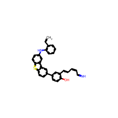 C=Cc1ccccc1Nc1ccc2sc3ccc(-c4ccc(O)c(/C=C/C=C\C=N)c4)cc3c2c1